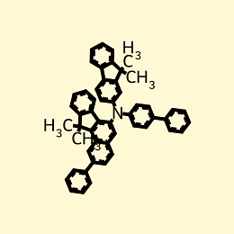 CC1(C)c2ccccc2-c2ccc(N(c3ccc(-c4ccccc4)cc3)c3cc4ccc(-c5ccccc5)cc4c4c3-c3ccccc3C4(C)C)cc21